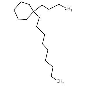 CCCCCCCCSC1(CCCC)CCCCC1